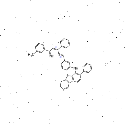 Cc1cccc(C(=N)/C=C(\N=C\c2cccc(Nc3c(-c4ccccc4)ccc4c5c(sc34)CCC=C5)c2)c2ccccc2)c1